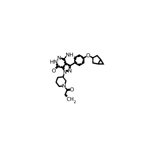 C=CC(=O)N1CCCC(n2nc(-c3ccc(OC4CC5CC5C4)cc3)c3c(N)n[nH]c(=O)c32)C1